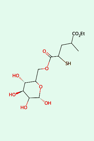 CCOC(=O)C(C)CC(S)C(=O)OCC1O[C@H](O)C(O)[C@@H](O)[C@@H]1O